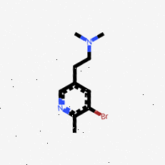 Cc1ncc(CCN(C)C)cc1Br